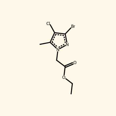 CCOC(=O)Cn1nc(Br)c(Cl)c1C